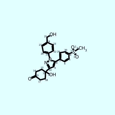 CS(=O)(=O)c1ccc(-c2cc(C3(O)CCC(=O)CC3)nn2-c2ccc(CO)cc2)cc1